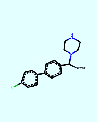 CCCCCC(c1ccc(-c2ccc(Cl)cc2)cc1)N1CCNCC1